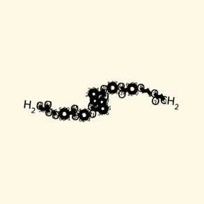 C=CC(=O)OCCCOC1CCC(C(=O)OC2CCC(OC(=O)c3cccc4c3C3(CC4)CCc4cccc(C(=O)OC5CCC(OC(=O)C6CCC(OCOC(=O)C=C)CC6)CC5)c43)CC2)CC1